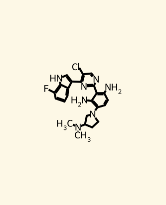 CN(C)C1CCN(c2ccc(N)c(-c3ncc(Cl)c(-c4c[nH]c5c(F)cccc45)n3)c2N)C1